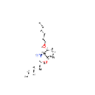 CCCCCCOc1cccc(OCCCCCC)c1[NH]